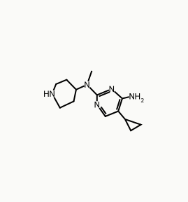 CN(c1ncc(C2CC2)c(N)n1)C1CCNCC1